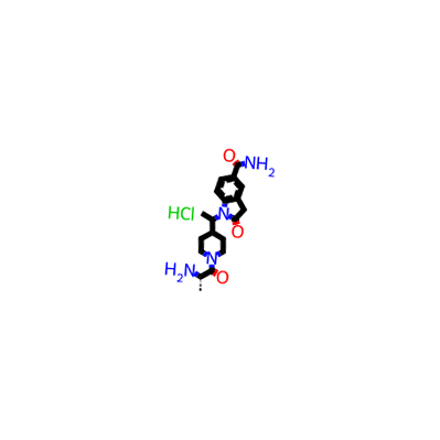 CC(C1CCN(C(=O)[C@H](C)N)CC1)N1C(=O)Cc2cc(C(N)=O)ccc21.Cl